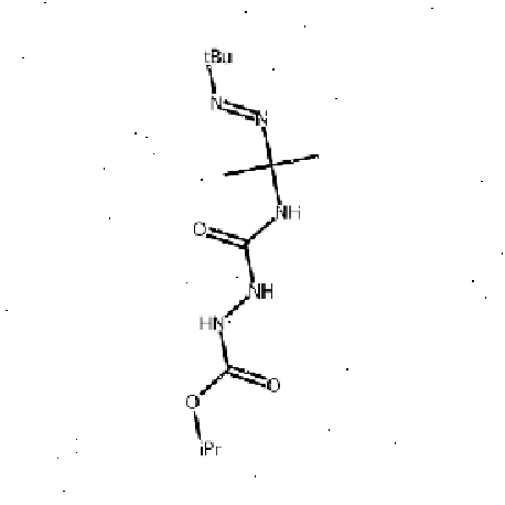 CC(C)OC(=O)NNC(=O)NC(C)(C)N=NC(C)(C)C